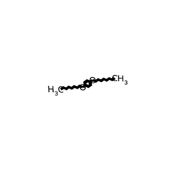 CCCCCCCCOc1ccc(OCCCCCCCC)cc1